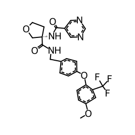 COc1ccc(Oc2ccc(CNC(=O)[C@]3(NC(=O)c4cncnc4)CCOC3)cc2)c(C(F)(F)F)c1